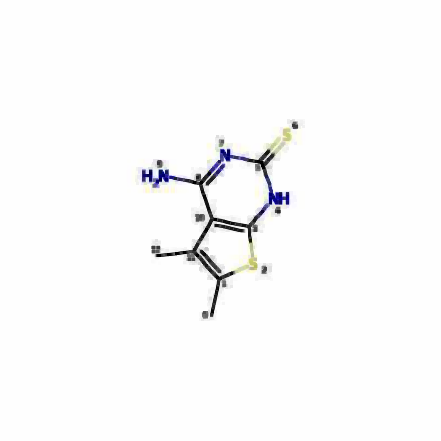 Cc1sc2[nH]c(=S)nc(N)c2c1C